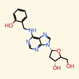 OCC1O[C@@H](n2cnc3c(NCc4ccccc4O)ncnc32)C[C@H]1O